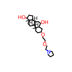 C[C@]12CCC(OCCOCCN3CCCC3)CC1C(O)C[C@@H]1[C@H]2CC[C@]2(C)C(O)CC[C@@H]12